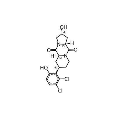 O=C1[C@@H]2C[C@H](c3c(O)ccc(Cl)c3Cl)CCN2C(=O)[C@H]2C[C@@H](O)CN12